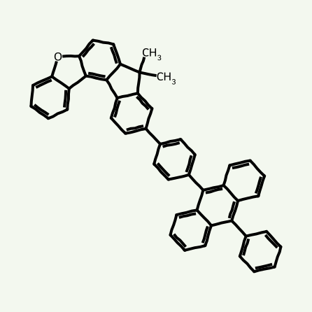 CC1(C)c2cc(-c3ccc(-c4c5ccccc5c(-c5ccccc5)c5ccccc45)cc3)ccc2-c2c1ccc1oc3ccccc3c21